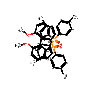 COc1cccc(P(=O)(c2ccc(C)cc2)c2ccc(C)cc2)c1-c1c(OC)cccc1P(=O)(c1ccc(C)cc1)c1ccc(C)cc1